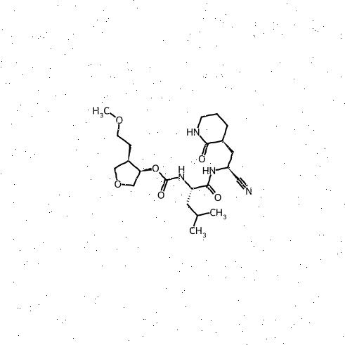 COCC[C@@H]1COC[C@@H]1OC(=O)N[C@@H](CC(C)C)C(=O)N[C@H](C#N)C[C@@H]1CCCNC1=O